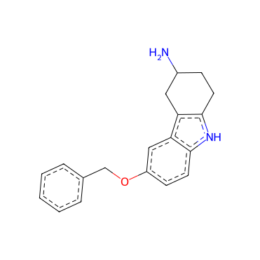 NC1CCc2[nH]c3ccc(OCc4ccccc4)cc3c2C1